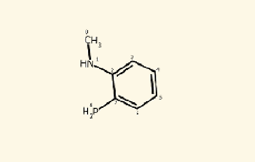 CNc1ccccc1P